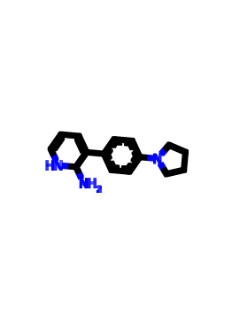 NC1NC=CC=C1c1ccc(N2CCCC2)cc1